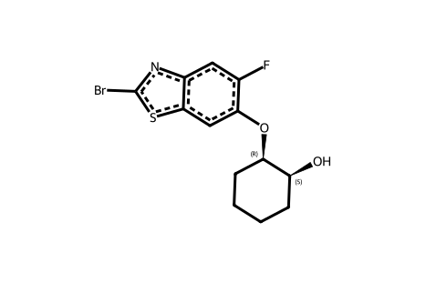 O[C@H]1CCCC[C@H]1Oc1cc2sc(Br)nc2cc1F